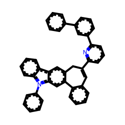 C1=C(c2cccc(-c3cccc(-c4ccccc4)c3)n2)Cc2cc3c4ccccc4n(-c4ccccc4)c3cc2-c2ccccc21